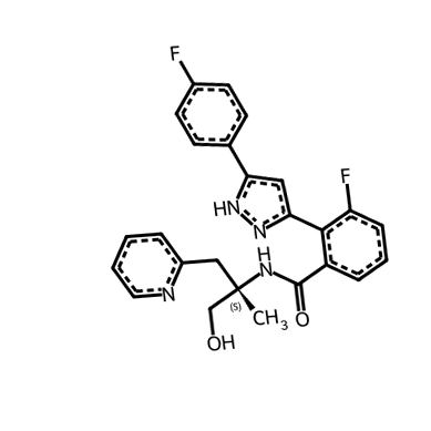 C[C@@](CO)(Cc1ccccn1)NC(=O)c1cccc(F)c1-c1cc(-c2ccc(F)cc2)[nH]n1